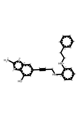 Nc1nc2c(O)cc(C#CCNc3ccccc3NCCc3ccccc3)cc2s1